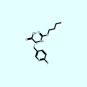 CCCCOC(=O)N[C@H](Cc1ccc(F)nc1)C(=O)O